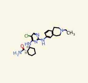 CCN1CCc2ccc(Nc3ncc(Cl)c(N[C@H]4CCCC[C@@H]4C(N)=O)n3)cc2CC1